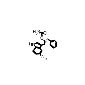 NC(=O)O[C@H](Cc1ccccc1)Cc1c[nH]c2ccc(C(F)(F)F)cc12